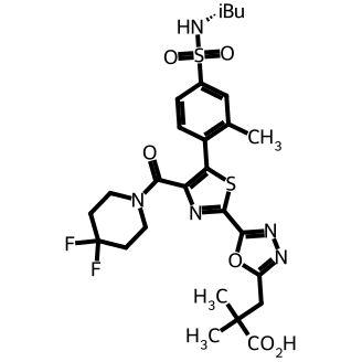 CC[C@@H](C)NS(=O)(=O)c1ccc(-c2sc(-c3nnc(CC(C)(C)C(=O)O)o3)nc2C(=O)N2CCC(F)(F)CC2)c(C)c1